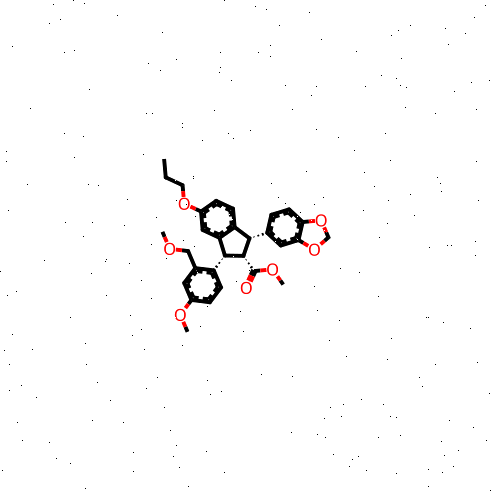 CCCOc1ccc2c(c1)[C@@H](c1ccc(OC)cc1COC)[C@@H](C(=O)OC)[C@H]2c1ccc2c(c1)OCO2